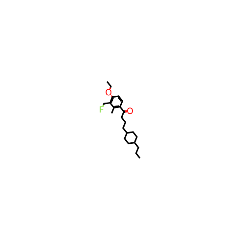 CCCC1CCC(CCCC(=O)c2ccc(OCC)c(CF)c2C)CC1